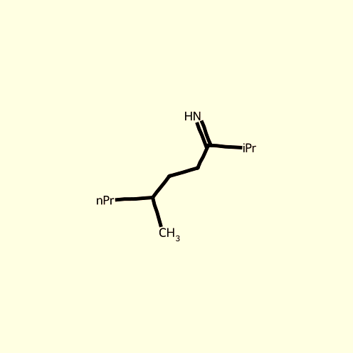 CCCC(C)CCC(=N)C(C)C